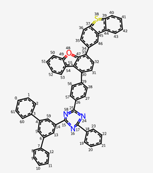 c1ccc(-c2cc(-c3ccccc3)cc(-c3nc(-c4ccccc4)nc(-c4ccc(-c5ccc(-c6ccc7sc8ccccc8c7c6)c6oc7ccccc7c56)cc4)n3)c2)cc1